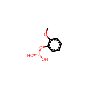 COc1ccccc1OB(O)O